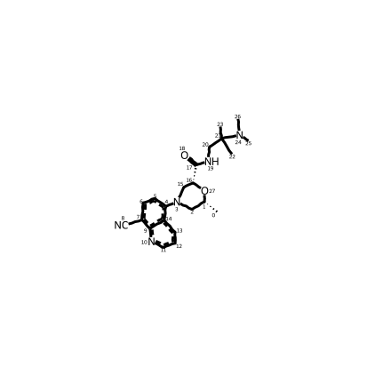 C[C@@H]1CN(c2ccc(C#N)c3ncccc23)C[C@H](C(=O)NCC(C)(C)N(C)C)O1